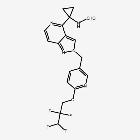 O=CNC1(c2nccc3nn(Cc4ccc(OCC(F)(F)C(F)F)nc4)cc23)CC1